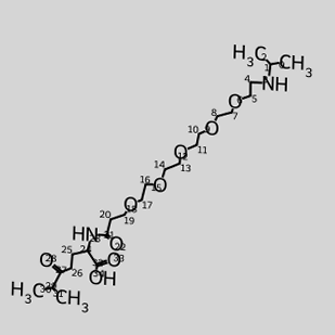 CC(C)NCCOCCOCCOCCOCCOCCC(=O)NC(CCC(=O)C(C)C)C(=O)O